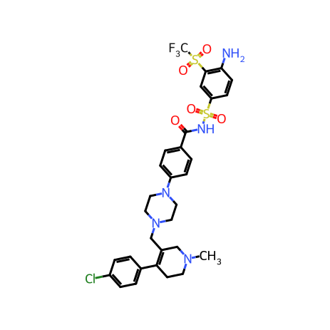 CN1CCC(c2ccc(Cl)cc2)=C(CN2CCN(c3ccc(C(=O)NS(=O)(=O)c4ccc(N)c(S(=O)(=O)C(F)(F)F)c4)cc3)CC2)C1